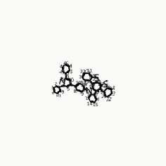 c1ccc(-c2cc(-c3ccc(-n4c5ccccc5c5c6c7ccccc7sc6c6sc7ccccc7c6c54)cc3)cc(-c3ccccc3)n2)cc1